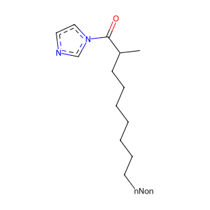 CCCCCCCCCCCCCCCCC(C)C(=O)n1ccnc1